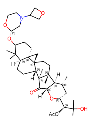 CC(=O)O[C@@H]([C@H]1C[C@@H](C)[C@H]2[C@H](O1)C(=O)[C@@]1(C)[C@@H]3CC[C@H]4C(C)(C)C(O[C@H]5CN(C6COC6)CCO5)CC[C@@]45C[C@@]35CC[C@]21C)C(C)(C)O